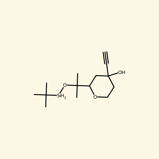 C#CC1(O)CCOC(C(C)(C)O[SiH2]C(C)(C)C)C1